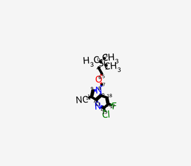 C[Si](C)(C)CCOCn1cc(C#N)c2nc(Cl)c(F)cc21